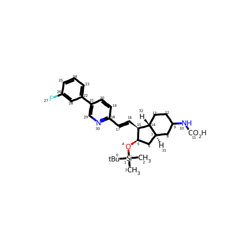 CC(C)(C)[Si](C)(C)O[C@@H]1C[C@@H]2CC(NC(=O)O)CC[C@H]2[C@@H]1C=Cc1ccc(-c2cccc(F)c2)cn1